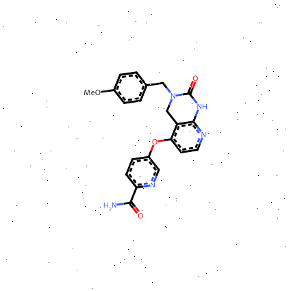 COc1ccc(CN2Cc3c(Oc4ccc(C(N)=O)nc4)ccnc3NC2=O)cc1